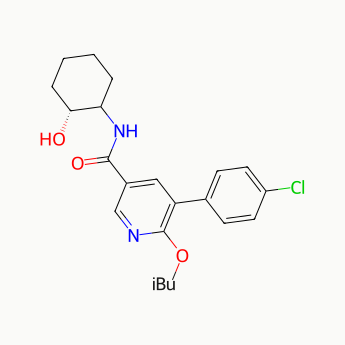 CCC(C)Oc1ncc(C(=O)NC2CCCC[C@H]2O)cc1-c1ccc(Cl)cc1